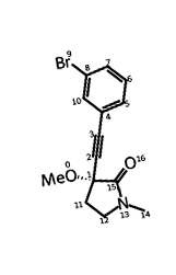 CO[C@@]1(C#Cc2cccc(Br)c2)CCN(C)C1=O